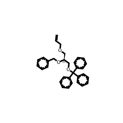 C=CCOC[C@@H](COC(c1ccccc1)(c1ccccc1)c1ccccc1)OCc1ccccc1